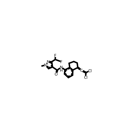 Cn1cc(C(=O)Nc2cccc3c2CCCC3=C=C(Cl)Cl)c(C(F)F)n1